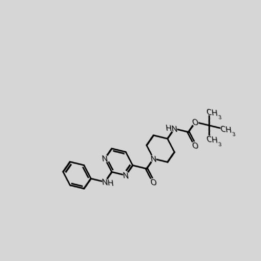 CC(C)(C)OC(=O)NC1CCN(C(=O)c2ccnc(Nc3ccccc3)n2)CC1